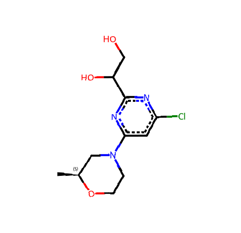 C[C@H]1CN(c2cc(Cl)nc(C(O)CO)n2)CCO1